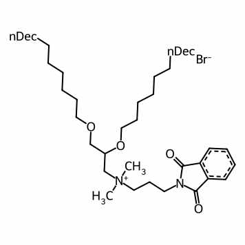 CCCCCCCCCCCCCCCCOCC(C[N+](C)(C)CCCN1C(=O)c2ccccc2C1=O)OCCCCCCCCCCCCCCCC.[Br-]